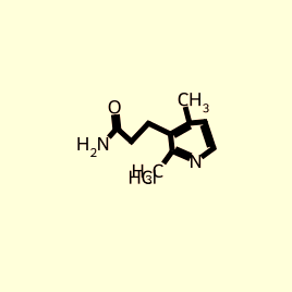 Cc1ccnc(C)c1CCC(N)=O.Cl